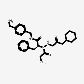 CCC(=O)N(NCC(=O)CC1CCCCC1)[C@@H](Cc1ccccc1)C(=O)NCc1ccc(CN)cc1